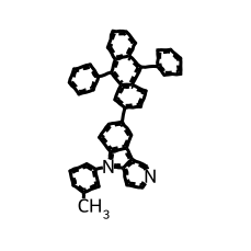 Cc1cccc(-n2c3ccncc3c3cc(-c4ccc5c(-c6ccccc6)c6ccccc6c(-c6ccccc6)c5c4)ccc32)c1